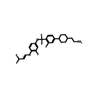 CCCC1CCC(c2ccc(C(F)(F)Oc3ccc(O/C=C/C(F)F)c(F)c3)c(F)c2)CC1